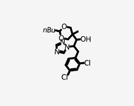 CCCCC1OCC(C)(C(O)C(Cc2ccc(Cl)cc2Cl)n2cncn2)CO1